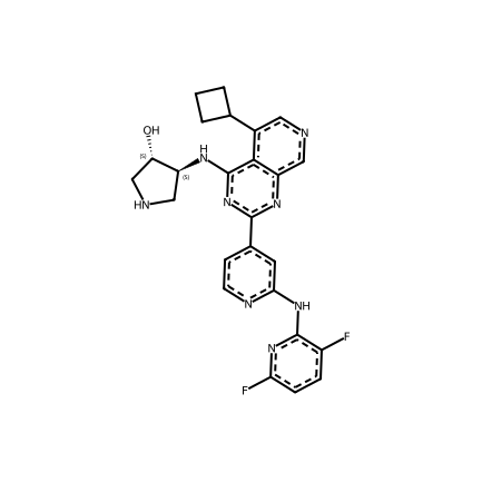 O[C@H]1CNC[C@@H]1Nc1nc(-c2ccnc(Nc3nc(F)ccc3F)c2)nc2cncc(C3CCC3)c12